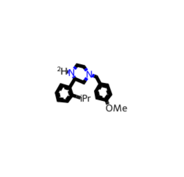 [2H]N1CCN(Cc2ccc(OC)cc2)CC1c1ccccc1C(C)C